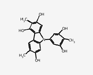 Cc1cc2c3c(O)c(C)c(O)cc3n(-c3cc(O)c(C)c(O)c3)c2cc1O